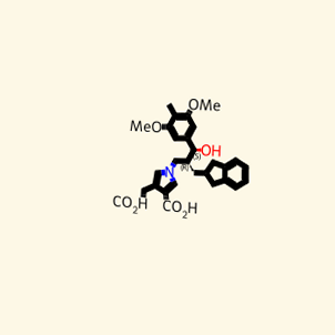 COc1cc([C@@H](O)[C@H](CC2Cc3ccccc3C2)Cn2cc(CC(=O)O)c(C(=O)O)c2)cc(OC)c1C